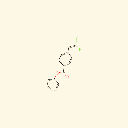 O=C(Oc1ccccc1)c1ccc(C=C(F)F)cc1